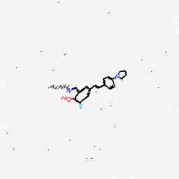 CC(=O)N/N=C/c1cc(/C=C/c2ccc(N3CCCC3)cc2)cc(F)c1O